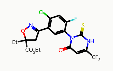 CCOC(=O)C1(CC)CC(c2cc(-n3c(=O)cc(C(F)(F)F)[nH]c3=S)c(F)cc2Cl)=NO1